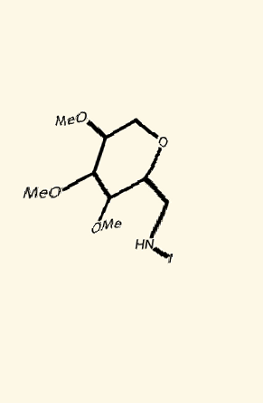 COC1COC(CNI)C(OC)C1OC